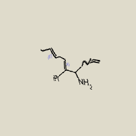 C=NC(N)/C(=C/C=C/C)C(C)C